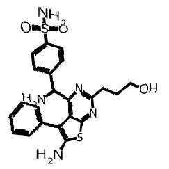 Nc1sc2nc(CCCO)nc(C(N)c3ccc(S(N)(=O)=O)cc3)c2c1-c1ccccc1